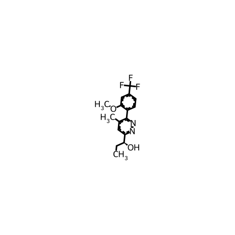 CC[C@H](O)c1cc(C)c(-c2ccc(C(F)(F)F)cc2OC)nn1